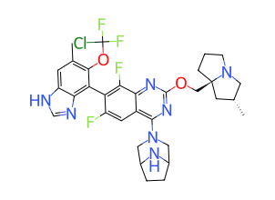 Cc1cc2[nH]cnc2c(-c2c(F)cc3c(N4CC5CCC(C4)N5)nc(OC[C@@]45CCCN4C[C@H](C)C5)nc3c2F)c1OC(F)(F)Cl